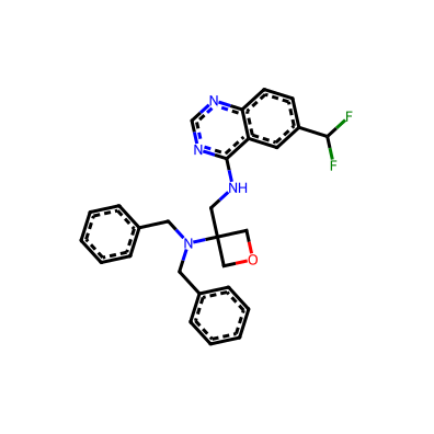 FC(F)c1ccc2ncnc(NCC3(N(Cc4ccccc4)Cc4ccccc4)COC3)c2c1